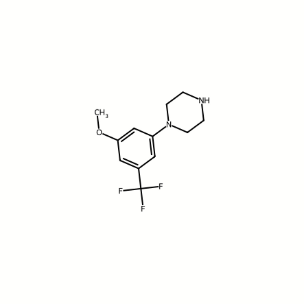 COc1cc(N2CCNCC2)cc(C(F)(F)F)c1